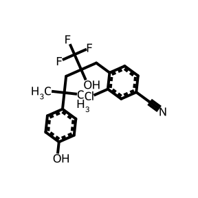 CC(C)(CC(O)(Cc1ccc(C#N)cc1Cl)C(F)(F)F)c1ccc(O)cc1